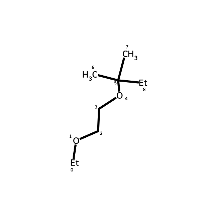 CCOCCOC(C)(C)CC